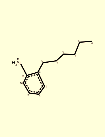 CCCCCCc1ccccc1[SiH3]